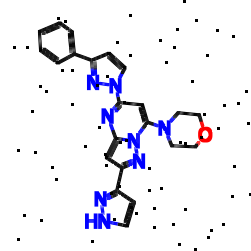 c1ccc(-c2ccn(-c3cc(N4CCOCC4)n4nc(-c5cc[nH]n5)cc4n3)n2)cc1